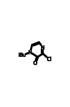 CCC(C)n1ccnc(Cl)c1=O